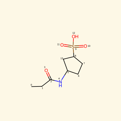 CCC(=O)NC1CCC(S(=O)(=O)O)C1